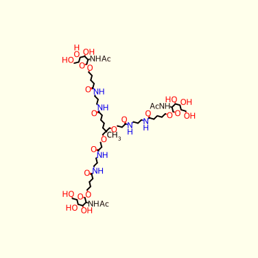 CC(=O)NC1C(OCCCCC(=O)NCCCNC(=O)CCCCC(C)(COCCC(=O)NCCCNC(=O)CCCCOC2OC(CO)C(O)C(O)C2NC(C)=O)COCCC(=O)NCCCNC(=O)CCCCOC2OC(CO)C(O)C(O)C2NC(C)=O)OC(CO)C(O)C1O